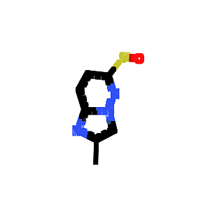 Cc1cn2nc([S+]=O)ccc2n1